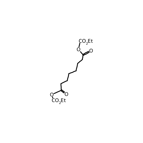 CCOC(=O)OC(=O)CCCCCCC(=O)OC(=O)OCC